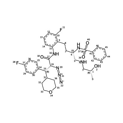 C[C@@H](O)CNC[C@H](CCc1c(F)cccc1NC(=O)C(N=[N+]=[N-])[C@@H](c1ccc(F)cc1)C1CCOCC1)NS(=O)(=O)c1ccccc1